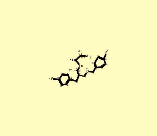 C[C@H](N)C(=O)O[C@@H](C)[C@@H](COCc1ccc(F)cc1)Cc1ccc(F)cc1